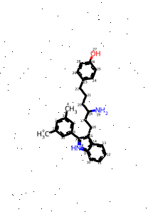 Cc1cc(C)cc(-c2[nH]c3ccccc3c2CCC(N)CCCc2ccc(O)cc2)c1